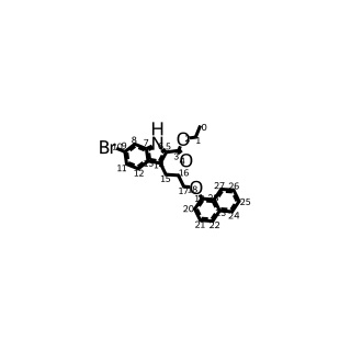 CCOC(=O)c1[nH]c2cc(Br)ccc2c1CCCOc1cccc2ccccc12